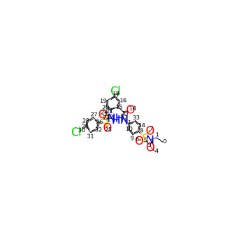 CCN(OC)S(=O)(=O)c1ccc(NC(=O)c2cc(Cl)ccc2NS(=O)(=O)c2ccc(Cl)cc2)cc1